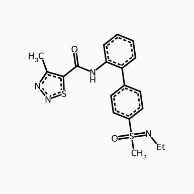 CCN=S(C)(=O)c1ccc(-c2ccccc2NC(=O)c2snnc2C)cc1